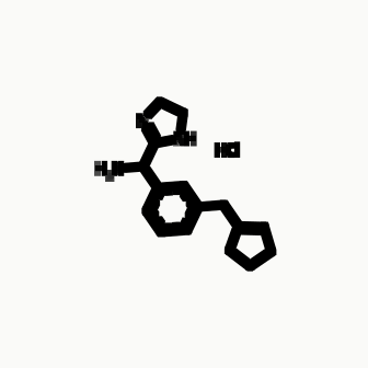 Cl.NC(C1=NCCN1)c1cccc(CC2=CCCC2)c1